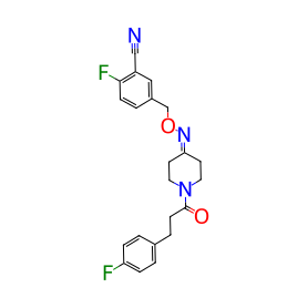 N#Cc1cc(CON=C2CCN(C(=O)CCc3ccc(F)cc3)CC2)ccc1F